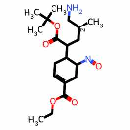 CCOC(=O)C1=CCC(C(C[C@H](C)CN)C(=O)OC(C)(C)C)C(N=O)C1